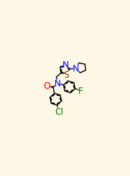 O=C(c1ccc(Cl)cc1)N(Cc1cnc(N2CCCC2)s1)c1ccc(F)cc1